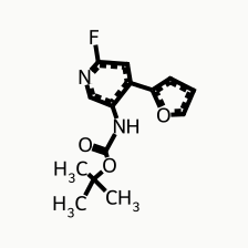 CC(C)(C)OC(=O)Nc1cnc(F)cc1-c1ccco1